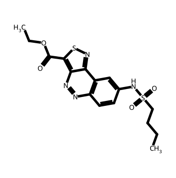 CCCCS(=O)(=O)Nc1ccc2nnc3c(C(=O)OCC)snc3c2c1